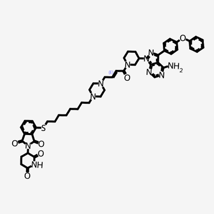 Nc1ncnc2c1c(-c1ccc(Oc3ccccc3)cc1)nn2C1CCCN(C(=O)/C=C/CN2CCN(CCCCCCCCSc3cccc4c3C(=O)N(C3CCC(=O)NC3=O)C4=O)CC2)C1